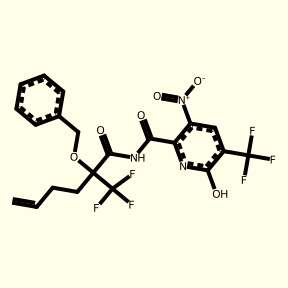 C=CCCC(OCc1ccccc1)(C(=O)NC(=O)c1nc(O)c(C(F)(F)F)cc1[N+](=O)[O-])C(F)(F)F